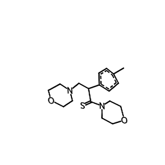 Cc1ccc(C(CN2CCOCC2)C(=S)N2CCOCC2)cc1